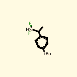 CC(c1ccc(C(C)(C)C)cc1)[SiH](F)F